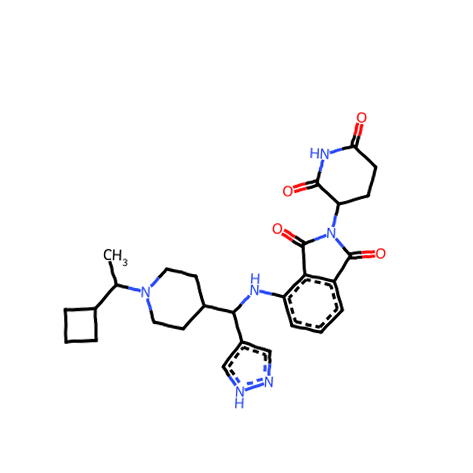 CC(C1CCC1)N1CCC(C(Nc2cccc3c2C(=O)N(C2CCC(=O)NC2=O)C3=O)c2cn[nH]c2)CC1